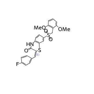 COc1cccc(OC)c1CS(=O)(=O)c1ccc2c(c1)S/C(=C/c1ccc(F)cc1)C(=O)N2